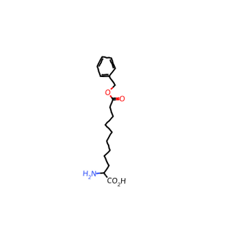 NC(CCCCCCCCC(=O)OCc1ccccc1)C(=O)O